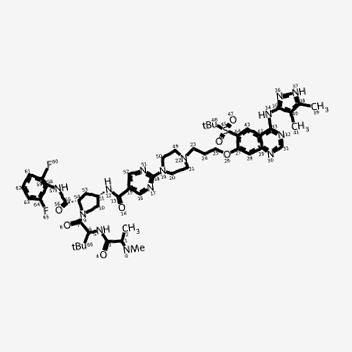 CNC(C)C(=O)NC(C(=O)N1C[C@@H](NC(=O)c2cnc(N3CCN(CCCOc4cc5ncnc(Nc6n[nH]c(C)c6C)c5cc4S(=O)(=O)C(C)(C)C)CC3)nc2)C[C@H]1C(=O)Nc1c(F)cccc1F)C(C)(C)C